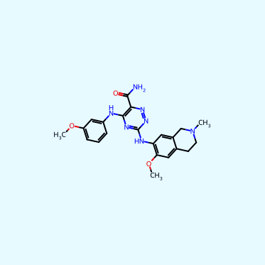 COc1cccc(Nc2nc(Nc3cc4c(cc3OC)CCN(C)C4)nnc2C(N)=O)c1